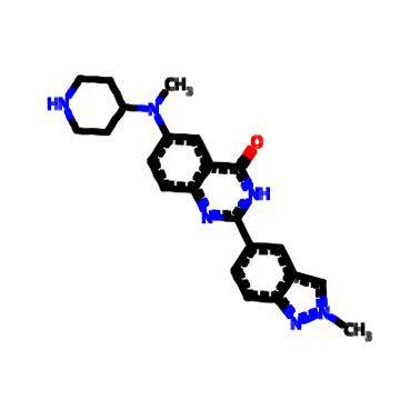 CN(c1ccc2nc(-c3ccc4nn(C)cc4c3)[nH]c(=O)c2c1)C1CCNCC1